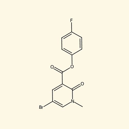 Cn1cc(Br)cc(C(=O)Oc2ccc(F)cc2)c1=O